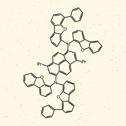 CC(C)c1cc(N(c2cccc3c2oc2ccccc23)c2cccc3c2oc2c(-c4ccccc4)cccc23)c2ccc3c(C(C)C)cc(N(c4cccc5c4oc4ccccc45)c4cccc5c4oc4c(-c6ccccc6)cccc45)c4ccc1c2c34